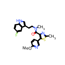 COc1ccc(-c2sc(C)nc2C(=O)N(C)CCc2c[nH]c3ccc(F)cc23)cn1